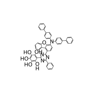 Oc1c(O)c(O)c(-c2nc(-c3ccccc3)nc(-c3ccc(N(c4ccc(-c5ccccc5)cc4)c4ccc(-c5ccccc5)cc4)c4oc5ccccc5c34)n2)c(O)c1O